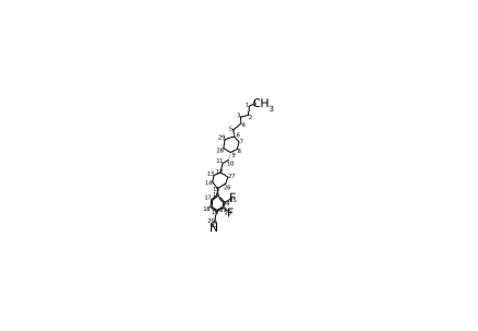 CCCCCC[C@H]1CC[C@H](CCC2CCC(c3ccc(C#N)c(F)c3F)CC2)CC1